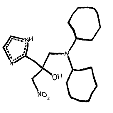 O=[N+]([O-])CC(O)(CN(C1CCCCC1)C1CCCCC1)c1ncc[nH]1